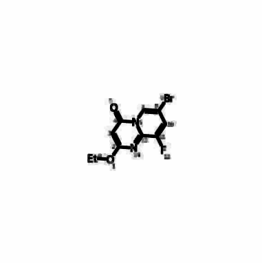 CCOc1cc(=O)n2cc(Br)cc(F)c2n1